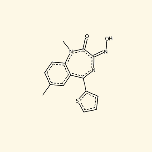 Cc1ccc2c(c1)c(-c1cccs1)n/c(=N/O)c(=O)n2C